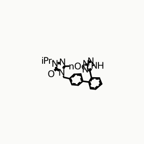 CCCCCCCCc1nn(C(C)C)c(=O)n1Cc1ccc(-c2ccccc2-c2nnn[nH]2)cc1